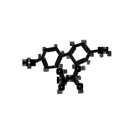 Nc1ccc(-c2ccc(N)cc2)cc1.O=[SH](=O)[SH](=O)=O